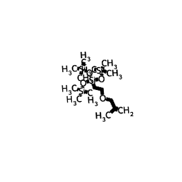 C=C(C)COCC[Si](O[Si](C)(C)C)(O[Si](C)(C)C)O[Si](C)(C)C